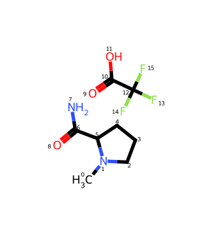 CN1CCCC1C(N)=O.O=C(O)C(F)(F)F